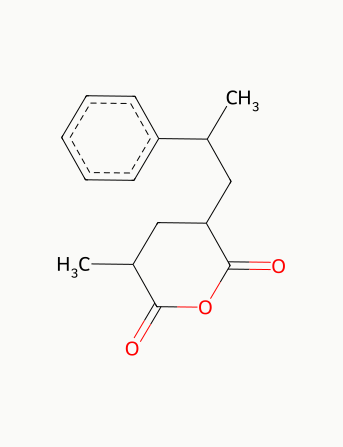 CC1CC(CC(C)c2ccccc2)C(=O)OC1=O